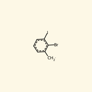 [CH2]c1cccc(I)c1Br